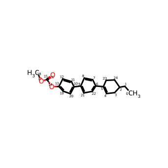 CCC1CC=C(c2ccc(-c3ccc(OC(=O)OC)cc3)cc2)CC1